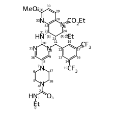 CCNC(=O)N1CCN(C2=CN(Cc3cc(C(F)(F)F)cc(C(F)(F)F)c3)C(N[C@H]3C[C@@H](CC)N(C(=O)OCC)c4ccc(OC)nc43)N=C2)CC1